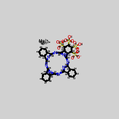 O=S(=O)([O-])c1c(S(=O)(=O)[O-])c(S(=O)(=O)[O-])c2c3nc4nc(nc5[nH]c(nc6nc(nc([nH]3)c2c1S(=O)(=O)[O-])-c1ccccc1-6)c1ccccc51)-c1ccccc1-4.[Mn+2].[Mn+2]